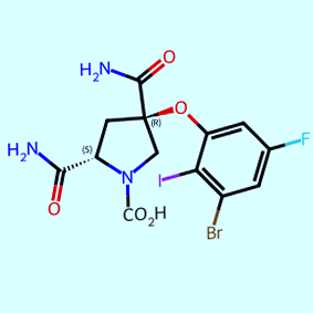 NC(=O)[C@@H]1C[C@](Oc2cc(F)cc(Br)c2I)(C(N)=O)CN1C(=O)O